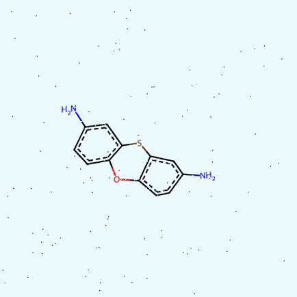 Nc1ccc2c(c1)Sc1cc(N)ccc1O2